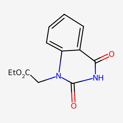 CCOC(=O)Cn1c(=O)[nH]c(=O)c2ccccc21